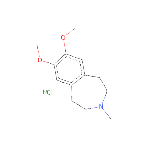 COc1cc2c(cc1OC)CCN(C)CC2.Cl